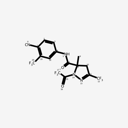 [C-]#[N+]c1ccc(NC(=O)C2(C)CC(C(F)(F)F)=NN2C(=O)C(F)(F)F)cc1C(F)(F)F